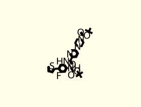 CC(C)(C)OC(=O)Nc1cc(F)c(-c2cccs2)cc1NC(=O)c1ccc(N2CCN(C(=O)OC(C)(C)C)CC2)cn1